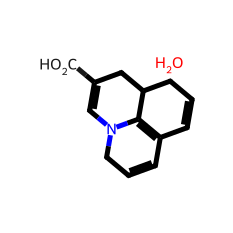 O.O=C(O)C1=CN2CC=CC3=C2C(CC=C3)C1